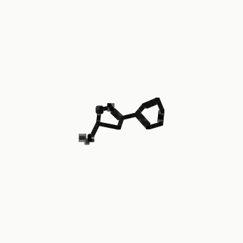 CC1CC(c2ccccc2)=NO1